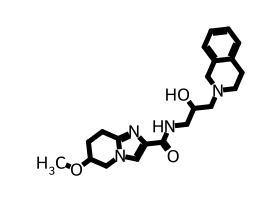 COC1CCc2nc(C(=O)NCC(O)CN3CCc4ccccc4C3)cn2C1